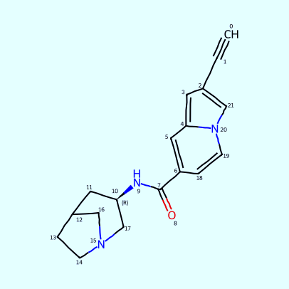 C#Cc1cc2cc(C(=O)N[C@@H]3CC4CCN(C4)C3)ccn2c1